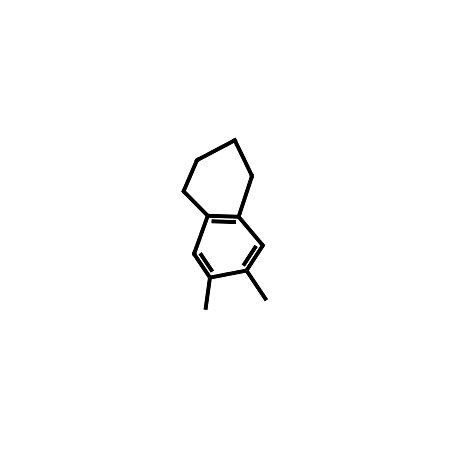 Cc1cc2c(cc1C)CCCC2